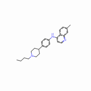 CCCCN1CCC(c2ccc(Nc3ccnc4cc(C)ccc34)cc2)CC1